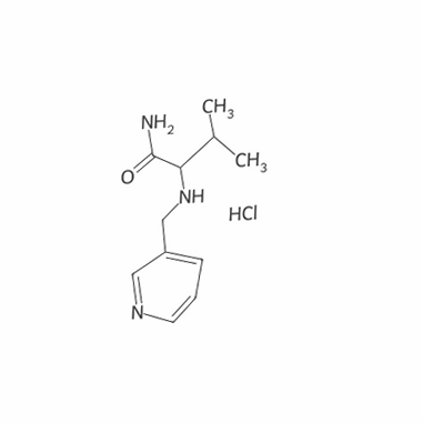 CC(C)C(NCc1cccnc1)C(N)=O.Cl